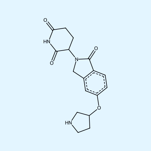 O=C1CCC(N2Cc3cc(OC4CCNC4)ccc3C2=O)C(=O)N1